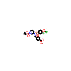 COC(=O)c1ccc(CN(C2CCCN(C(=O)OC(C)(C)C)C2)S(=O)(=O)c2ccc(OC(F)(F)F)cc2)cc1